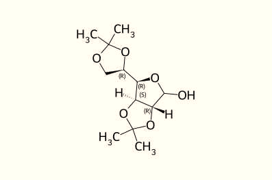 CC1(C)OC[C@H]([C@H]2OC(O)[C@@H]3OC(C)(C)O[C@@H]23)O1